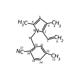 C=Cc1c(C)cc(C)n1Cc1cc(C)ccc1C#N